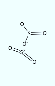 O=S([O-])[O-].O=[S+2]=O